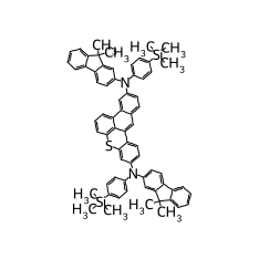 CC1(C)c2ccccc2-c2ccc(N(c3ccc([Si](C)(C)C)cc3)c3ccc4c(c3)Sc3cccc5c3c-4cc3ccc(N(c4ccc([Si](C)(C)C)cc4)c4ccc6c(c4)C(C)(C)c4ccccc4-6)cc35)cc21